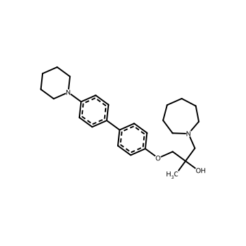 CC(O)(COc1ccc(-c2ccc(N3CCCCC3)cc2)cc1)CN1CCCCCC1